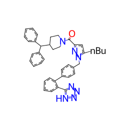 CCCCc1cc(C(=O)N2CCC(C(c3ccccc3)c3ccccc3)CC2)nn1Cc1ccc(-c2ccccc2-c2nnn[nH]2)cc1